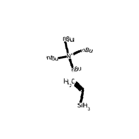 C=C[SiH3].CCCC[N+](CCCC)(CCCC)CCCC